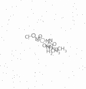 COC[C@@H](C)NC(=O)c1ncn(C2CCC3(CC2)CCN(c2cccc(Cl)c2)C3=O)c1C(N)=O